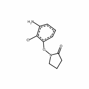 Nc1cccc(ON2CCCC2=O)c1Cl